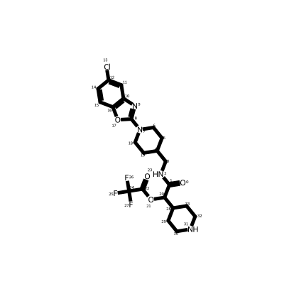 O=C(NCC1CCN(c2nc3cc(Cl)ccc3o2)CC1)C(OC(=O)C(F)(F)F)C1CCNCC1